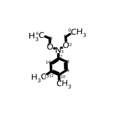 CCON(OCC)c1ccc(C)c(C)c1